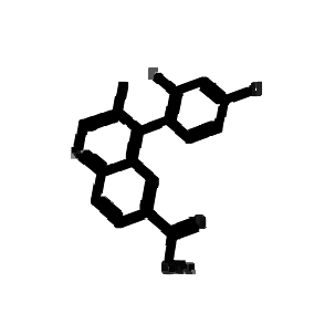 COC(=O)c1ccc2ncc(C)c(-c3ccc(Cl)cc3F)c2c1